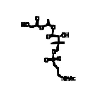 CC(=O)NCCCS(=O)(=O)OCC(C)(C)[C@@H](O)C(=O)OC(C)OC(=O)CO